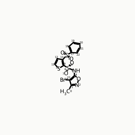 Cc1noc(NS(=O)(=O)c2sccc2S(=O)(=O)c2ccccc2)c1Br